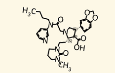 CCCCN(C(=O)CN1C[C@H](c2ccc3c(c2)OCO3)[C@@H](C(=O)O)[C@@H]1CCN1CCCN(C)C1=O)c1cccnc1